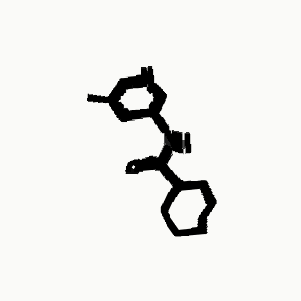 Cc1cncc(NC(=O)C2CCCCC2)c1